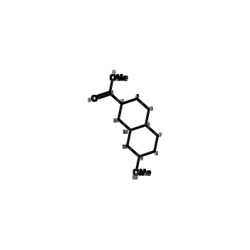 COC(=O)C1CCC2CCC(OC)CC2C1